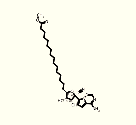 COC(=O)CCCCCCCCCCCCCCC[C@H]1O[C@@](C#N)(c2ccc3c(N)ncnn23)[C@H](O)[C@@H]1O